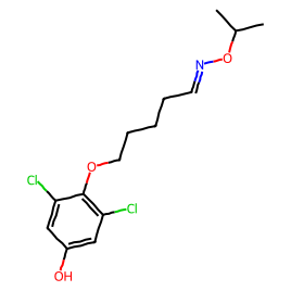 CC(C)ON=CCCCCOc1c(Cl)cc(O)cc1Cl